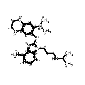 CC(C)NCCCn1c(Sc2cc3c(cc2N(C)C)OCCO3)nc2c(N)ncnc21